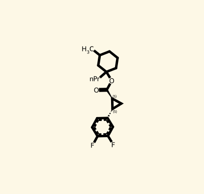 CCCC1(OC(=O)[C@H]2C[C@@H]2c2ccc(F)c(F)c2)CCCC(C)C1